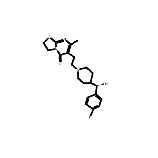 Cc1nc2n(c(=O)c1CCN1CCC([C@H](O)c3ccc(F)cc3)CC1)CCS2